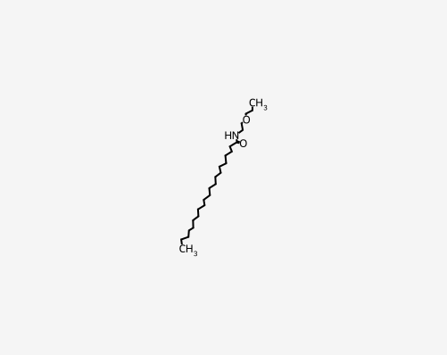 CCCCCCCCCCCCCCCCCCCCC(=O)NCCOCCC